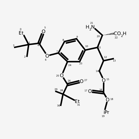 CCC(C)(C)C(=O)Oc1ccc(C(C(C)COC(=O)OC(C)C)[C@H](N)C(=O)O)cc1OC(=O)C(C)(C)CC